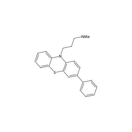 CNCCCN1c2ccccc2Sc2cc(-c3ccccc3)ccc21